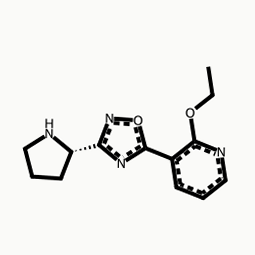 CCOc1ncccc1-c1nc([C@@H]2CCCN2)no1